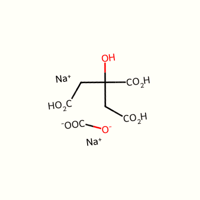 O=C(O)CC(O)(CC(=O)O)C(=O)O.O=C([O-])[O-].[Na+].[Na+]